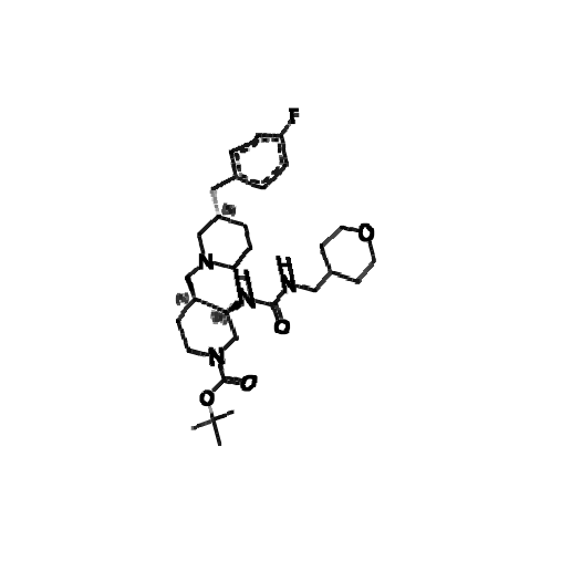 CC(C)(C)OC(=O)N1CC[C@@H](CN2CCC[C@@H](Cc3ccc(F)cc3)C2)[C@@H](NC(=O)NCC2CCOCC2)C1